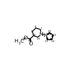 COC(=O)C1CCCN(n2cccc2)C1